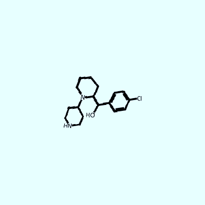 OC(c1ccc(Cl)cc1)C1CCCCN1C1CCNCC1